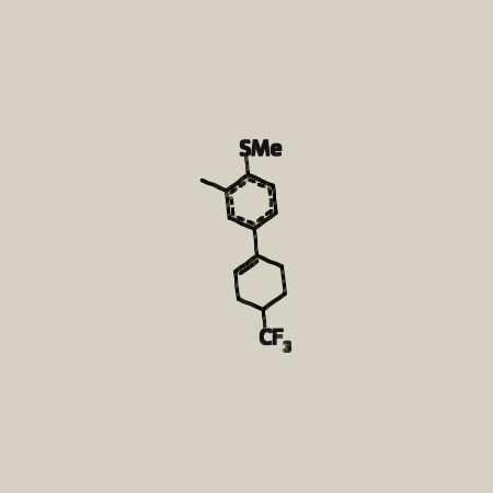 CSc1ccc(C2=CCC(C(F)(F)F)CC2)cc1C